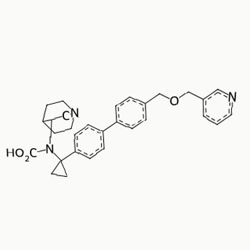 O=C(O)N(C1CN2CCC1CC2)C1(c2ccc(-c3ccc(COCc4cccnc4)cc3)cc2)CC1